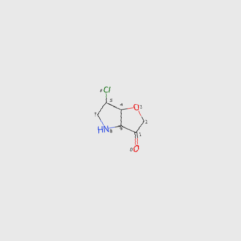 O=C1COC2C(Cl)CNC12